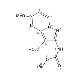 COc1ccn2nc(NC(=O)OC(C)(C)C)c(C(=O)O)c2n1